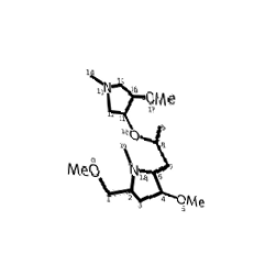 COCC1CC(OC)C(CC(C)OC2CN(C)CC2OC)N1C